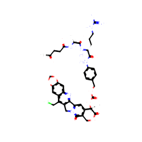 CC[C@@]1(OC(=O)OCc2ccc(NC(=O)[C@H](CCCNC(=N)N)NC(=O)[C@@H](NC(=O)CCC(=O)C(C)C)C(C)C)cc2)C(=O)OCc2c1cc1n(c2=O)Cc2c-1nc1cc3c(cc1c2CCl)OCO3